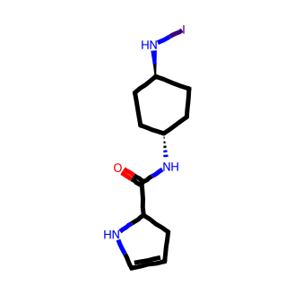 O=C(N[C@H]1CC[C@H](NI)CC1)C1CC=CN1